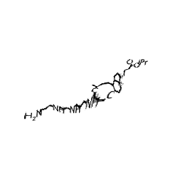 CC1CCC2C(CCC[C@H](NCCCNCCCNCCCN)C1)CC[C@@]1(C)C2CC[C@@H]1CCCC(=O)OC(C)C